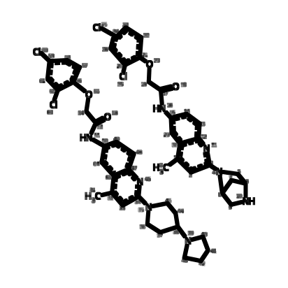 Cc1cc(N2CC3CC2CN3)nc2ccc(NC(=O)COc3ccc(Cl)cc3Cl)cc12.Cc1cc(N2CCC(N3CCCC3)CC2)nc2ccc(NC(=O)COc3ccc(Cl)cc3Cl)cc12